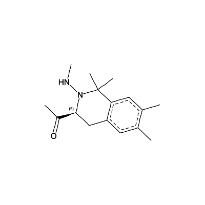 CNN1[C@H](C(C)=O)Cc2cc(C)c(C)cc2C1(C)C